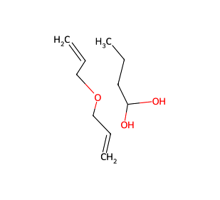 C=CCOCC=C.CCCC(O)O